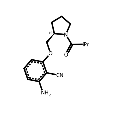 CC(C)C(=O)N1CCC[C@@H]1COc1cccc(N)c1C#N